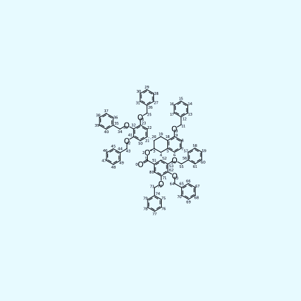 O=C(O[C@@H]1Cc2cccc(OCc3ccccc3)c2C[C@H]1c1cc(OCc2ccccc2)c(OCc2ccccc2)c(OCc2ccccc2)c1)c1cc(OCc2ccccc2)c(OCc2ccccc2)c(OCc2ccccc2)c1